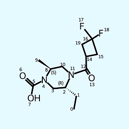 CC[C@@H]1CN(C(=O)O)[C@@H](C)CN1C(=O)C1CC(F)(F)C1